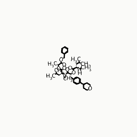 CN[C@@H](CC(C)C)C(=O)O[C@H](Cc1ccc(C2CCOCC2)cc1)C(=O)N(C)[C@@H](CC(C)C)C(=O)O[C@H](C)C(=O)OCc1ccccc1